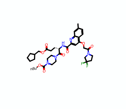 CCCCOC(=O)N1CCN(C(=O)[C@H](CCC(=O)OCC2CCCC2)NC(=O)c2cc(OCC(=O)N3CCC(F)(F)C3)c3ccc(C)cc3n2)CC1